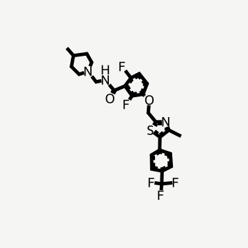 Cc1nc(COc2ccc(F)c(C(=O)NCN3CCC(C)CC3)c2F)sc1-c1ccc(C(F)(F)F)cc1